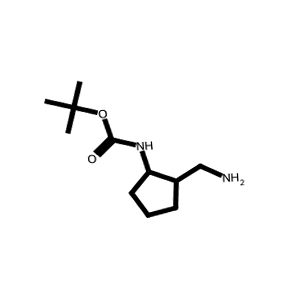 CC(C)(C)OC(=O)NC1CCCC1CN